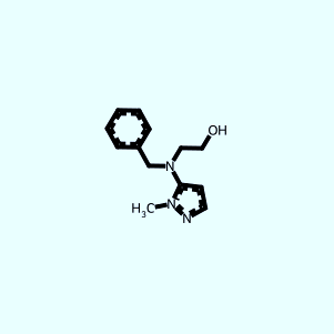 Cn1nccc1N(CCO)Cc1ccccc1